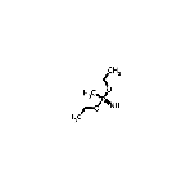 CCOP(C)(=N)OCC